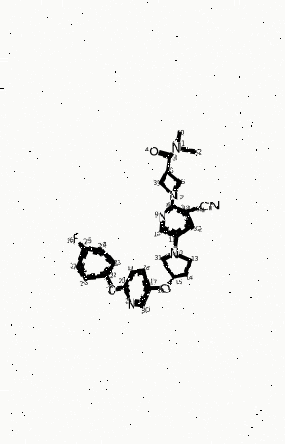 CN(C)C(=O)C1CN(c2ncc(N3CC[C@@H](Oc4ccc(Oc5ccc(F)cc5)nc4)C3)cc2C#N)C1